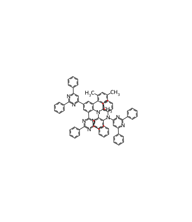 Cc1cc(C)c(-c2cc(-c3cc(-c4ccccc4)nc(-c4ccccc4)n3)cc(-c3nc(-c4ccccc4)nc(-c4ccccc4)n3)c2N2c3ccccc3N(c3cc(-c4ccccc4)nc(-c4ccccc4)n3)c3ccccc32)c(C)c1